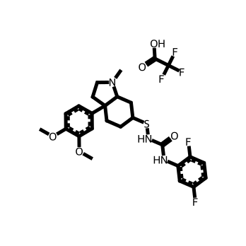 COc1ccc(C23CCC(SNC(=O)Nc4cc(F)ccc4F)CC2N(C)CC3)cc1OC.O=C(O)C(F)(F)F